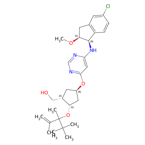 C=C(C)C(C)(O[C@H]1C[C@H](Oc2cc(N[C@@H]3c4ccc(Cl)cc4C[C@@H]3OC)ncn2)C[C@H]1CO)C(C)(C)C